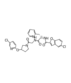 O=C(N[C@@H](Cc1ccccn1)C(=O)NCC(=O)N1CCC(Oc2ccc(Cl)cn2)C1)c1cc2cc(Cl)ccc2o1